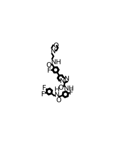 O=C(NCc1ccc(F)c(F)c1)c1ccc(F)c(NC(=O)c2cnc3cc(-c4ccc(C(=O)NCCCN5CCOCC5)c(F)c4)ccn23)c1